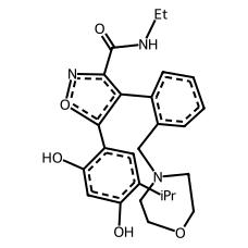 CCNC(=O)c1noc(-c2cc(C(C)C)c(O)cc2O)c1-c1ccccc1CN1CCOCC1